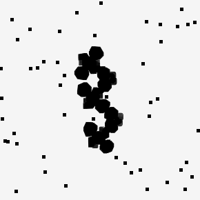 O=S1(=O)c2ccc(-c3ccc(-c4c5ccsc5c(-c5ccccc5)c5cc(-c6ccc7c(c6)-c6cc(-c8cc9c(-c%10ccccc%10)c%10sccc%10c(-c%10ccccc%10)c9s8)ccc6S7(=O)=O)sc45)cc3)cc2-c2cc(-c3cc4c(-c5ccccc5)c5sccc5c(-c5ccccc5)c4s3)ccc21